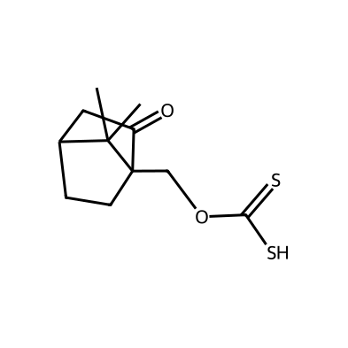 CC1(C)C2CCC1(COC(=S)S)C(=O)C2